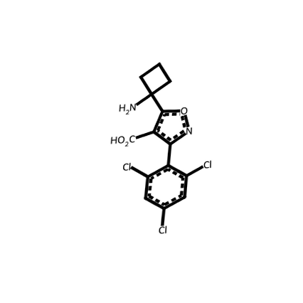 NC1(c2onc(-c3c(Cl)cc(Cl)cc3Cl)c2C(=O)O)CCC1